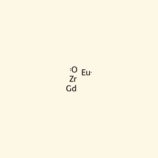 [Eu].[Gd].[O].[Zr]